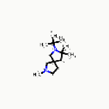 CN1CCC2(C1)CN(C(C)(C)C)C(C)(C)C2